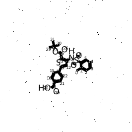 Cc1ccccc1S(=O)(=O)Nc1cc(-c2ccc(C(=O)O)cc2)sc1C(=O)OC(C)(C)C